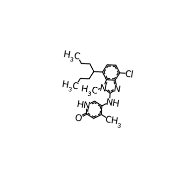 CCCC(CCC)c1ccc(Cl)c2nc(Nc3c[nH]c(=O)cc3C)n(C)c12